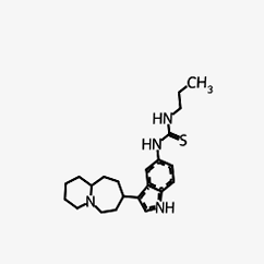 CCCNC(=S)Nc1ccc2[nH]cc(C3CCC4CCCCN4CC3)c2c1